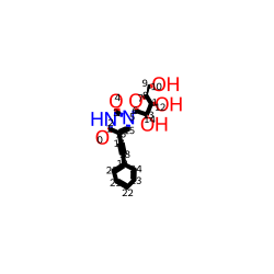 O=c1[nH]c(=O)n([C@H]2O[C@@H](CO)C(O)C2O)cc1C#Cc1ccccc1